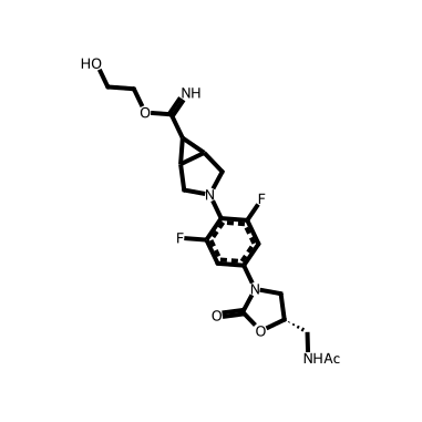 CC(=O)NC[C@H]1CN(c2cc(F)c(N3CC4C(C3)C4C(=N)OCCO)c(F)c2)C(=O)O1